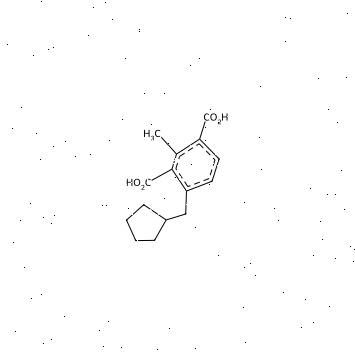 Cc1c(C(=O)O)ccc(CC2CCCC2)c1C(=O)O